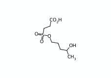 CC(O)CCCOS(=O)(=O)CCC(=O)O